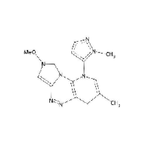 CON1C=C2N=NC3=C(N2C1)N(c1ccnn1C)C=C(C)C3